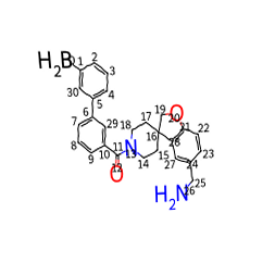 Bc1cccc(-c2cccc(C(=O)N3CCC4(CC3)COc3ccc(CN)cc34)c2)c1